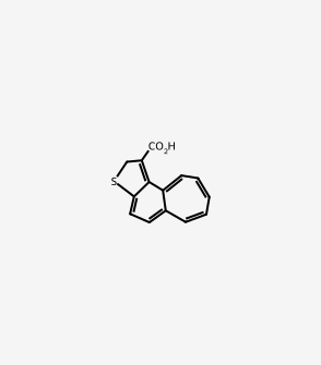 O=C(O)C1=c2c(ccc3c2=CC=CC=C3)SC1